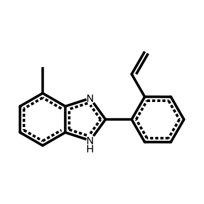 C=Cc1ccccc1-c1nc2c(C)cccc2[nH]1